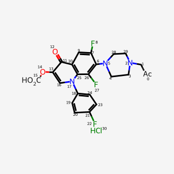 CC(=O)CN1CCN(c2c(F)cc3c(=O)c(OC(=O)O)cn(-c4ccc(F)cc4)c3c2F)CC1.Cl